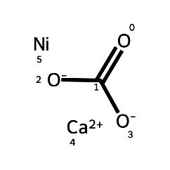 O=C([O-])[O-].[Ca+2].[Ni]